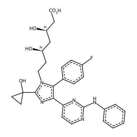 O=C(O)C[C@H](O)C[C@H](O)CCn1c(C2(O)CC2)nc(-c2ccnc(Nc3ccccc3)n2)c1-c1ccc(F)cc1